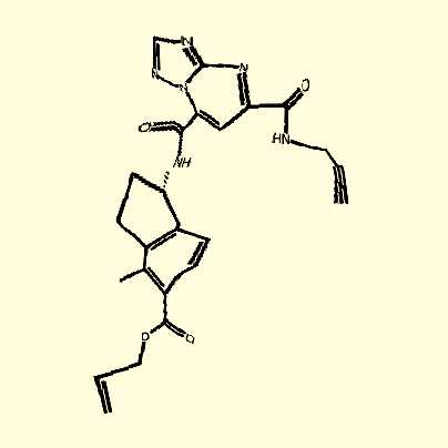 C#CCNC(=O)c1cc(C(=O)N[C@H]2CCc3c2ccc(C(=O)OCC=C)c3C)n2ncnc2n1